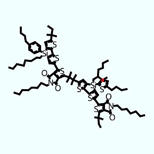 CCCCCCCCN1C(=O)c2c(-c3cc4c(s3)-c3sc(C(C)(C)CC)cc3[Si]4(CCCCCCCC)c3ccc(CCCC)cc3)sc(C(C)(C)C(C)(C)c3cc4c(s3)-c3sc(-c5sc(C(C)(C)CC)c6c5C(=O)N(CCCCCCC)C6=O)cc3[Si]4(CC(CC)CCCC)c3ccc(CCCC)s3)c2C1=O